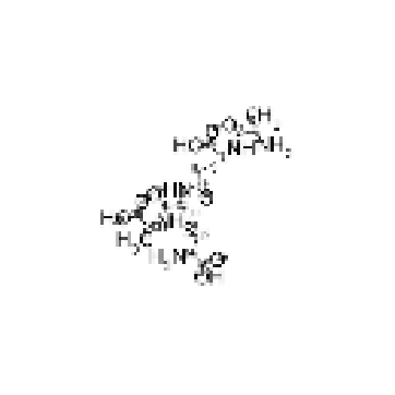 C[C@H](N)C(=O)N[C@H](CCC(=O)N[C@H](CSC[C@H](N)C(=O)O)C(=O)N[C@H](C)C(=O)O)C(=O)O